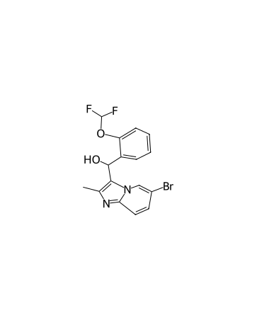 Cc1nc2ccc(Br)cn2c1C(O)c1ccccc1OC(F)F